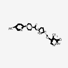 N#Cc1ccc(N2CCN(C(=O)C[C@H]3CC[C@H](COc4cn[nH]c(=O)c4C(F)(F)F)N3)CC2)nc1